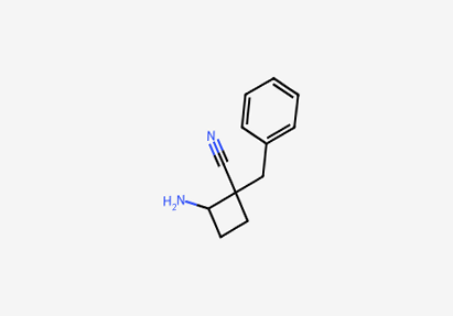 N#CC1(Cc2ccccc2)CCC1N